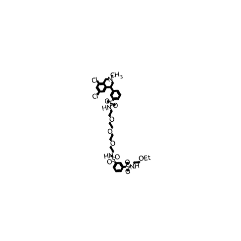 CCOCCNS(=O)(=O)c1cccc(S(=O)(=O)NCCOCCOCCOCCNS(=O)(=O)c2cccc(C3CN(C)Cc4c(Cl)cc(Cl)cc43)c2)c1